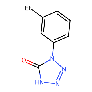 CCc1cccc(-n2nn[nH]c2=O)c1